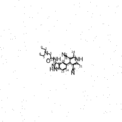 CCN(CC)CC(=O)Nc1n[nH]c2ccc(C3C(C#N)=C(C)NC(C)=C3C#N)cc12